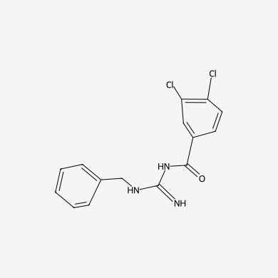 N=C(NCc1ccccc1)NC(=O)c1ccc(Cl)c(Cl)c1